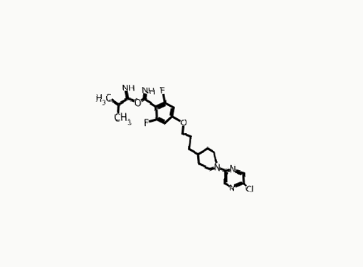 CC(C)C(=N)OC(=N)c1c(F)cc(OCCCC2CCN(c3cnc(Cl)cn3)CC2)cc1F